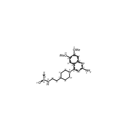 COc1cc2nc(N)nc(N3CCC(CCN[SH](=O)=O)CC3)c2cc1OC